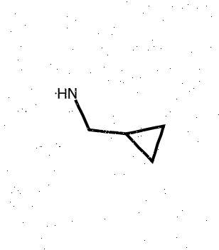 [NH]CC1CC1